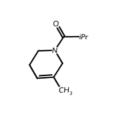 CC1=CCCN(C(=O)C(C)C)C1